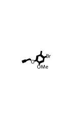 C#CCOc1cc(C)c(Br)cc1OC